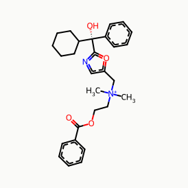 C[N+](C)(CCOC(=O)c1ccccc1)Cc1cnc([C@](O)(c2ccccc2)C2CCCCC2)o1